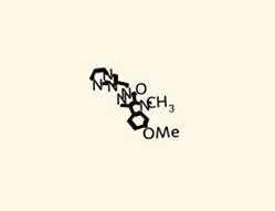 COc1ccc2c3cnn(Cc4cn5cccnc5n4)c(=O)c3n(C)c2c1